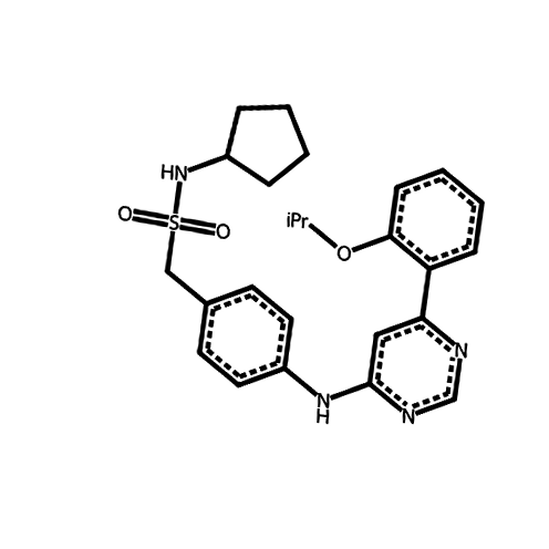 CC(C)Oc1ccccc1-c1cc(Nc2ccc(CS(=O)(=O)NC3CCCC3)cc2)ncn1